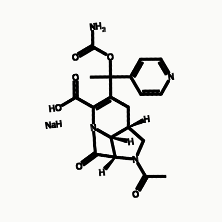 CC(=O)N1C[C@H]2CC(C(C)(OC(N)=O)c3ccncc3)=C(C(=O)O)N3C(=O)[C@@H]1[C@@H]23.[NaH]